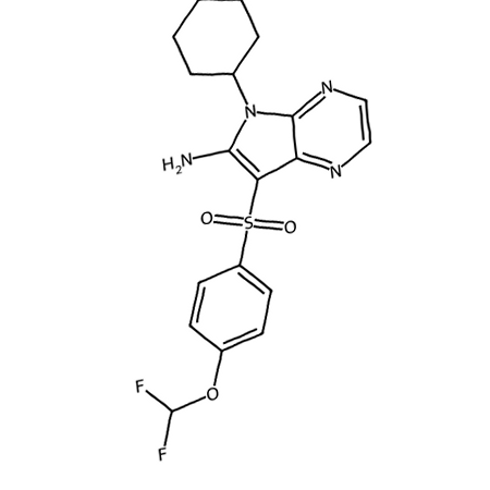 Nc1c(S(=O)(=O)c2ccc(OC(F)F)cc2)c2nccnc2n1C1CCCCC1